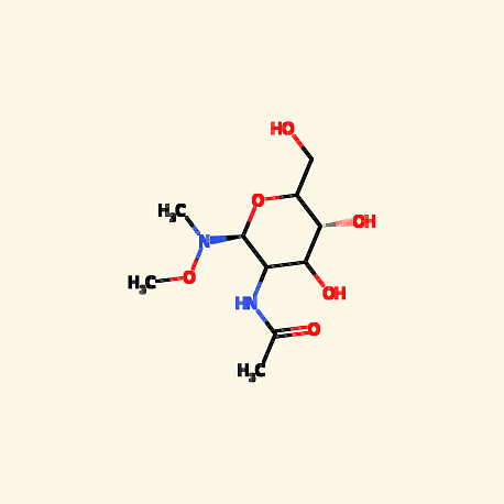 CON(C)[C@H]1OC(CO)[C@H](O)C(O)C1NC(C)=O